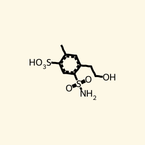 Cc1cc(CCO)c(S(N)(=O)=O)cc1S(=O)(=O)O